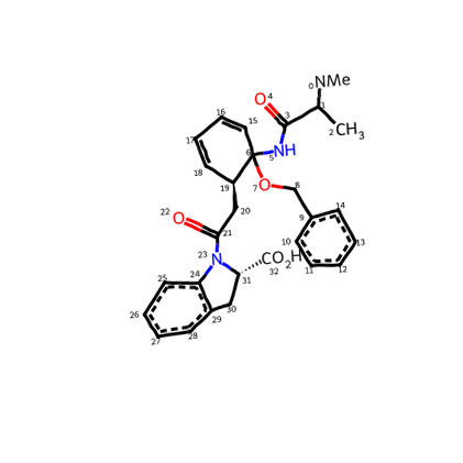 CNC(C)C(=O)NC1(OCc2ccccc2)C=CC=C[C@@H]1CC(=O)N1c2ccccc2C[C@H]1C(=O)O